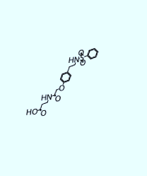 O=C(O)CCNC(=O)COc1ccc(CCNS(=O)(=O)c2ccccc2)cc1